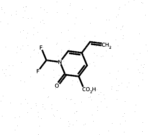 C=Cc1cc(C(=O)O)c(=O)n(C(F)F)c1